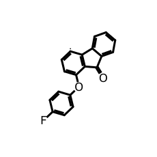 O=C1c2ccccc2-c2[c]ccc(Oc3ccc(F)cc3)c21